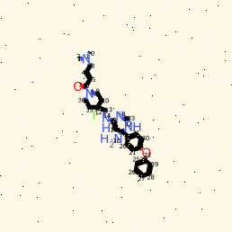 CN(C)C/C=C/C(=O)N1CCC(F)(CNC2=CC(N)(c3ccc(Oc4ccccc4)cc3)NC=N2)CC1